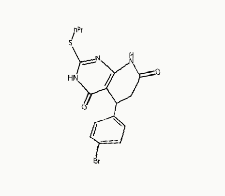 CCCSc1nc2c(c(=O)[nH]1)C(c1ccc(Br)cc1)CC(=O)N2